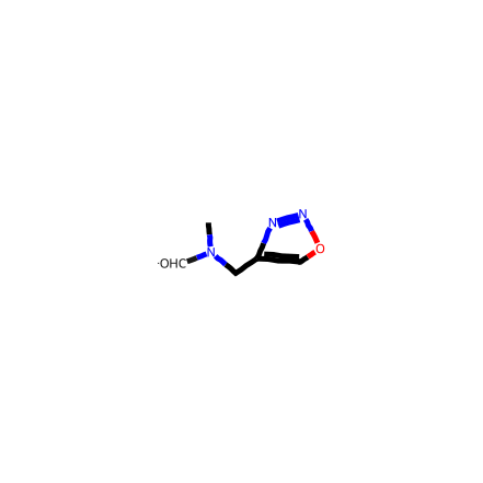 CN([C]=O)Cc1conn1